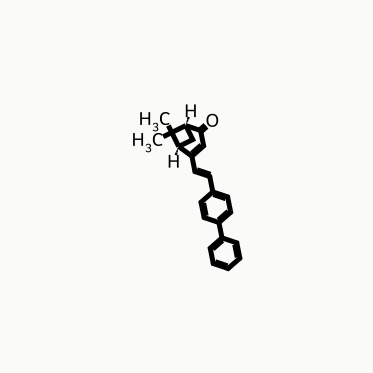 CC1(C)[C@@H]2C[C@H]1C(/C=C/c1ccc(-c3ccccc3)cc1)=CC2=O